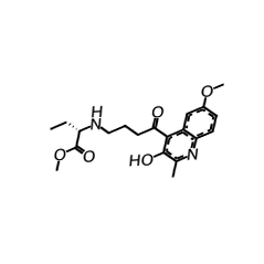 CC[C@H](NCCCC(=O)c1c(O)c(C)nc2ccc(OC)cc12)C(=O)OC